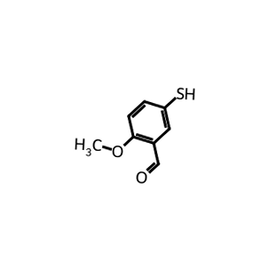 COc1ccc(S)cc1C=O